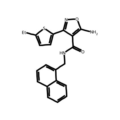 CCc1ccc(-c2noc(N)c2C(=O)NCc2cccc3ccccc23)s1